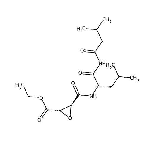 CCOC(=O)[C@H]1O[C@@H]1C(=O)N[C@@H](CC(C)C)C(=O)NC(=O)CC(C)C